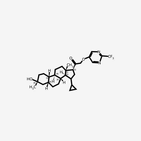 C[C@@]1(O)CC[C@H]2[C@H](CC[C@@H]3[C@@H]2CC[C@]2(C)[C@@H](C(=O)COc4cnc(C(F)(F)F)nc4)CC(C4CC4)[C@@H]32)C1